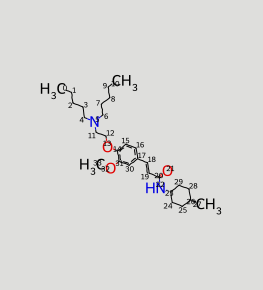 CCCCCN(CCCCC)CCOc1ccc(C=CC(=O)N[C@H]2CC[C@H](C)CC2)cc1OC